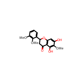 COc1cccc(C2CC(=O)c3c(cc(O)c(OC)c3O)O2)c1OC